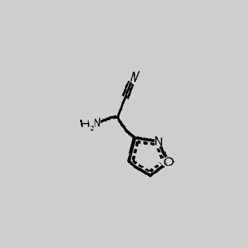 N#CC(N)c1ccon1